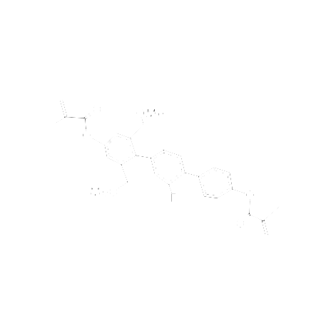 C=C(C)C(=O)Oc1ccc(-c2ccc(-c3c(COC)cc(OC(=O)C(=C)C)cc3COC)cc2F)cc1